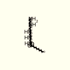 CCCCCCCCCCS(=O)(=O)NCCCNCCCNCCCCNCCCN